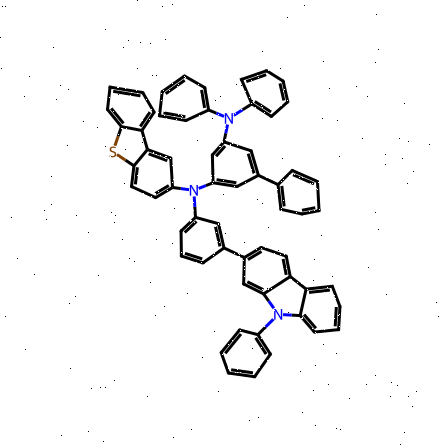 c1ccc(-c2cc(N(c3ccccc3)c3ccccc3)cc(N(c3cccc(-c4ccc5c6ccccc6n(-c6ccccc6)c5c4)c3)c3ccc4sc5ccccc5c4c3)c2)cc1